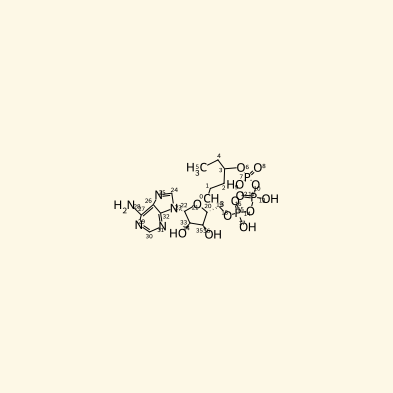 CCCC(CC)OP(=O)(O)OP(=O)(O)OP(=O)(O)OC[C@H]1O[C@@H](n2cnc3c(N)ncnc32)[C@H](O)[C@@H]1O